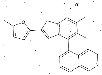 Cc1ccc(C2=Cc3c(cc(C)c(C)c3-c3cccc4ccccc34)[CH]2)o1.[Zr]